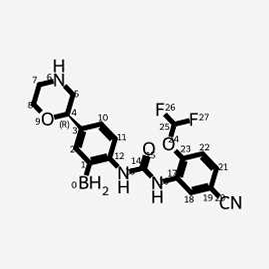 Bc1cc([C@@H]2CNCCO2)ccc1NC(=O)Nc1cc(C#N)ccc1OC(F)F